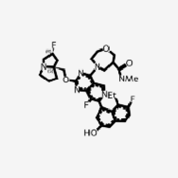 CCc1c(F)ccc2cc(O)cc(-c3ncc4c(N5CCOCC(C(=O)NC)C5)nc(OC[C@@]56CCCN5C[C@H](F)C6)nc4c3F)c12